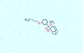 CCCCOc1cccc(C2(OC)OOC23C2CC4CC(C2)CC3C4)c1